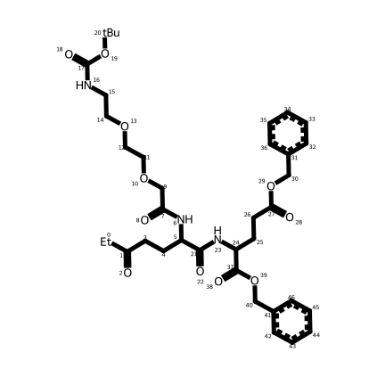 CCC(=O)CCC(NC(=O)COCCOCCNC(=O)OC(C)(C)C)C(=O)NC(CCC(=O)OCc1ccccc1)C(=O)OCc1ccccc1